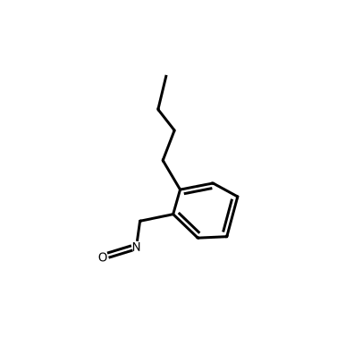 CCCCc1ccccc1CN=O